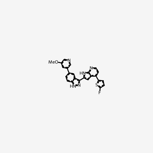 COc1cncc(-c2ccc3[nH]nc(-c4cc5c(-c6ccc(F)s6)ccnc5[nH]4)c3c2)c1